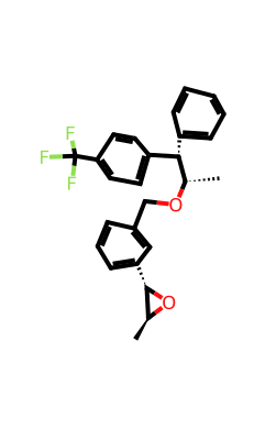 C[C@H](OCc1cccc([C@@H]2O[C@H]2C)c1)[C@@H](c1ccccc1)c1ccc(C(F)(F)F)cc1